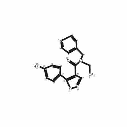 CCN(Cc1ccncc1)C(=O)c1cnoc1-c1ccc(C)cc1